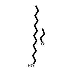 CCCCCCCCCCCCO.CCC[O]